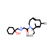 CCC1/C=C(\C)[C@@H](COC)N(C(=O)CNCC2(O)CCCCC2)CC/C=C/C1